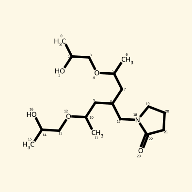 CC(O)COC(C)C[C](CC(C)OCC(C)O)CN1CCCC1=O